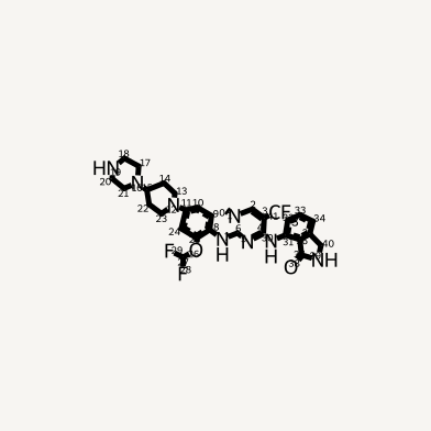 C=N/C=C(\C(=N/CNc1ccc(N2CCC(N3CCNCC3)CC2)cc1OC(F)F)Nc1cccc2c1C(=O)NC2)C(F)(F)F